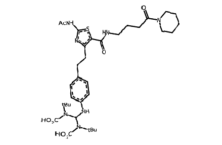 CC(=O)Nc1nc(CCc2ccc(NC(N(C(=O)O)C(C)(C)C)N(C(=O)O)C(C)(C)C)cc2)c(C(=O)NCCCC(=O)N2CCCCC2)s1